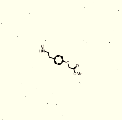 COC(=O)COc1ccc(CCNCl)cc1